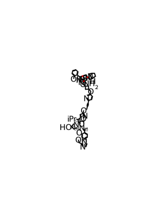 CC(C)[C@H](C(=O)N1C[C@H](O)C[C@H]1C(=O)N[C@@H](C)c1ccc(-n2ccnc2CO)cc1)c1cc(OCC#Cc2ccc(OC3CC(Oc4cc(N5C6CC[C@@H]5CN(c5cc(-c7ccccc7O)nnc5N)C6)ccn4)C3)cn2)no1